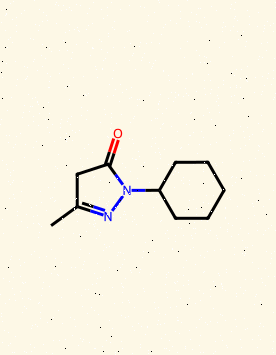 CC1=NN(C2CCCCC2)C(=O)C1